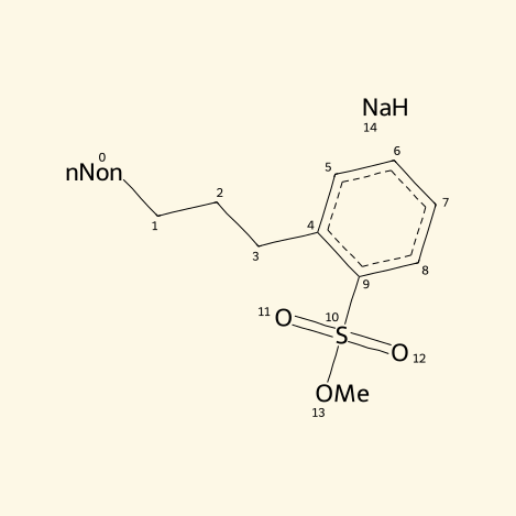 CCCCCCCCCCCCc1ccccc1S(=O)(=O)OC.[NaH]